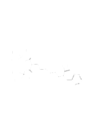 CC(C)(C)OC(=O)C(CCCCCCC(Cc1ccccc1)C(=O)O)C(=O)OC(C)(C)C